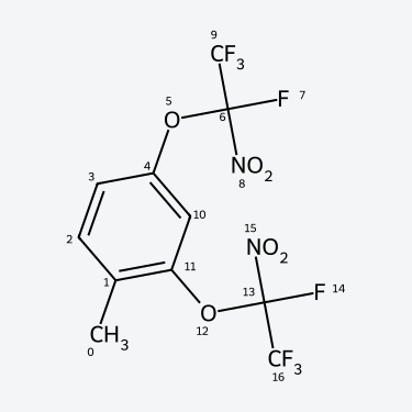 Cc1ccc(OC(F)([N+](=O)[O-])C(F)(F)F)cc1OC(F)([N+](=O)[O-])C(F)(F)F